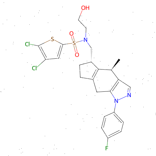 C[C@@H]1C2=C(CC[C@@H]2CN(CCO)S(=O)(=O)c2cc(Cl)c(Cl)s2)Cc2c1cnn2-c1ccc(F)cc1